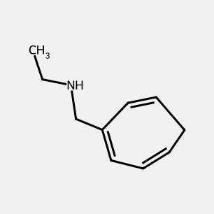 CCNCC1=CC=CCC=C1